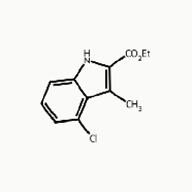 CCOC(=O)c1[nH]c2cccc(Cl)c2c1C